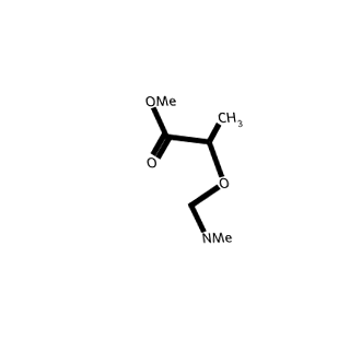 CNCOC(C)C(=O)OC